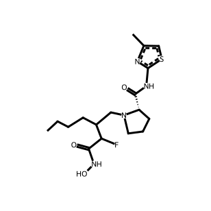 CCCCC(CN1CCC[C@H]1C(=O)Nc1nc(C)cs1)C(F)C(=O)NO